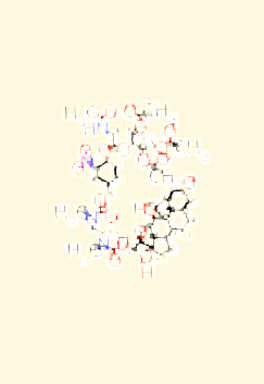 CC(=O)NC[C@H](Oc1ccc(COC(=O)N(C)CCN(C)C(=O)OCC(=O)[C@@]2(O)CCC3C4CCC5=CC(=O)C=C[C@]5(C)C4C(=O)C[C@@]32C)cc1[N+](=O)[O-])OC(COC(C)=O)[C@H](COC(C)=O)OC(C)=O